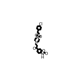 O=C(CCN1CCN(S(=O)(=O)/C=C/c2ccc(Cl)cc2)CC1)c1ccc2[nH]c(=O)oc2c1